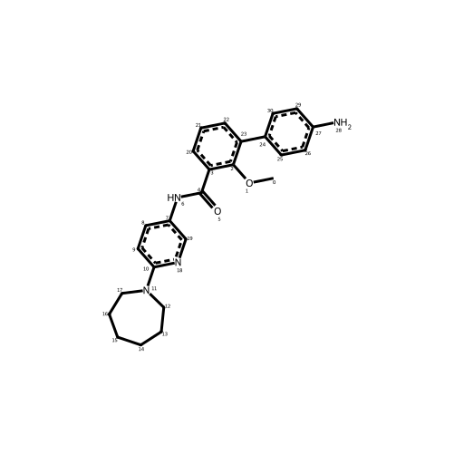 COc1c(C(=O)Nc2ccc(N3CCCCCC3)nc2)cccc1-c1ccc(N)cc1